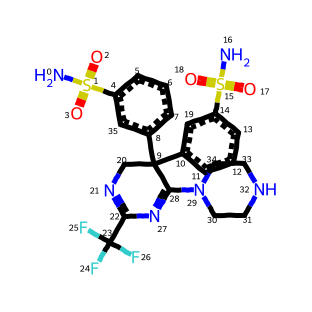 NS(=O)(=O)c1cccc(C2(c3cccc(S(N)(=O)=O)c3)CN=C(C(F)(F)F)N=C2N2CCNCC2)c1